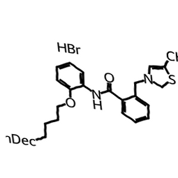 Br.CCCCCCCCCCCCCCOc1ccccc1NC(=O)c1ccccc1CN1C=C(C)SC1